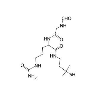 CC(C)(S)CCNC(=O)C(CCCNC(N)=O)NC(=O)CNC=O